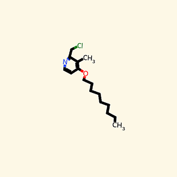 CCCCCCCCCOc1ccnc(CCl)c1C